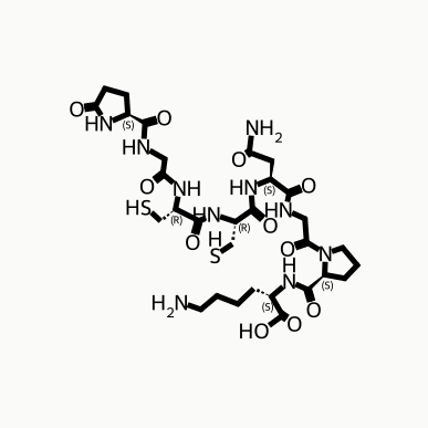 NCCCC[C@H](NC(=O)[C@@H]1CCCN1C(=O)CNC(=O)[C@H](CC(N)=O)NC(=O)[C@H](CS)NC(=O)[C@H](CS)NC(=O)CNC(=O)[C@@H]1CCC(=O)N1)C(=O)O